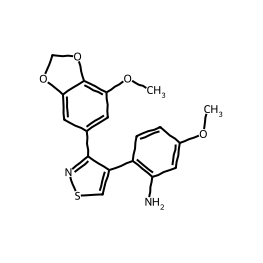 COc1ccc(-c2csnc2-c2cc(OC)c3c(c2)OCO3)c(N)c1